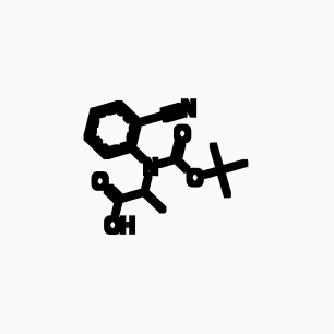 CC(C(=O)O)N(C(=O)OC(C)(C)C)c1ccccc1C#N